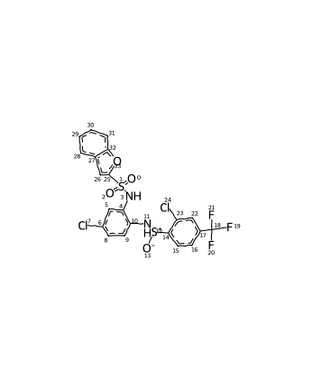 O=S(=O)(Nc1cc(Cl)ccc1N[S+]([O-])c1ccc(C(F)(F)F)cc1Cl)c1cc2ccccc2o1